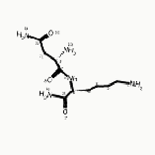 NCCCC[C@H](NC(=O)[C@@H](N)CC(N)=O)C(N)=O